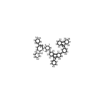 CC1(C2=CC(c3cccc(-c4ccc5c(c4)c4cc(-c6cccc(-n7c8ccccc8c8ccccc87)c6)ccc4n5-c4ccccc4)c3)=NC(c3ccccc3)=C=C2)C=CC=CC1